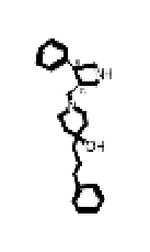 OC1(CCCc2ccccc2)CCN(C[C@@H]2CNC[C@@H]2c2ccccc2)CC1